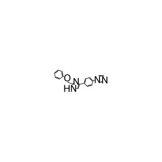 c1ccc(OCc2nc(-c3ccc(-n4ccnc4)cc3)c[nH]2)cc1